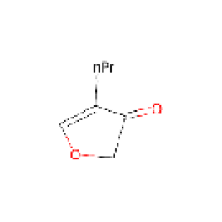 CCCC1=COCC1=O